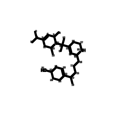 CC(C)C1=CC(C)N(C(C)(C)C2=CC(CCCC(C)C3=CCC(O)CC3)NCC2)C(C)C1